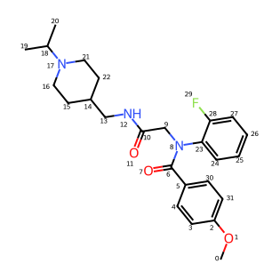 COc1ccc(C(=O)N(CC(=O)NCC2CCN(C(C)C)CC2)c2ccccc2F)cc1